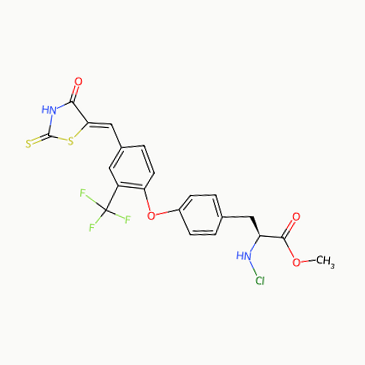 COC(=O)[C@H](Cc1ccc(Oc2ccc(/C=C3\SC(=S)NC3=O)cc2C(F)(F)F)cc1)NCl